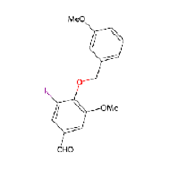 COc1cccc(COc2c(I)cc(C=O)cc2OC)c1